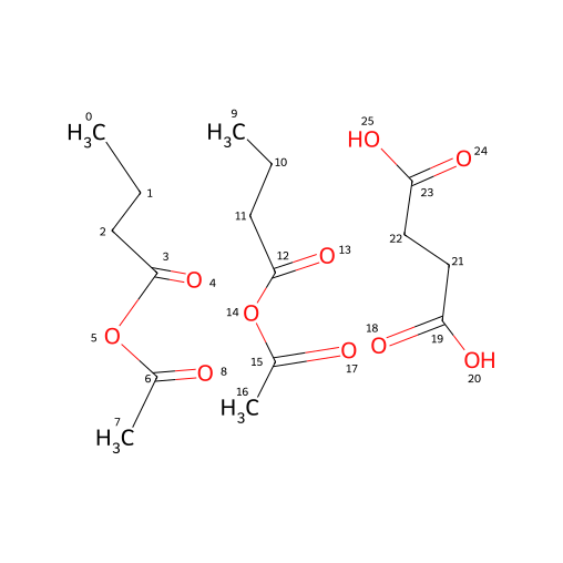 CCCC(=O)OC(C)=O.CCCC(=O)OC(C)=O.O=C(O)CCC(=O)O